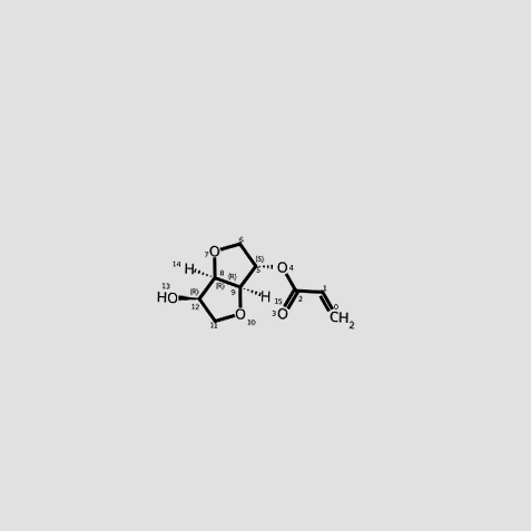 C=CC(=O)O[C@H]1CO[C@H]2[C@@H]1OC[C@H]2O